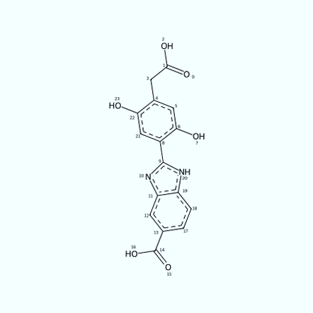 O=C(O)Cc1cc(O)c(-c2nc3cc(C(=O)O)ccc3[nH]2)cc1O